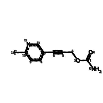 NC(=O)OCC#Cc1ccc(F)nc1